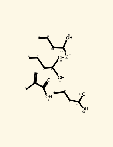 C=C(C)C(=O)O.CCCC(O)O.CCCC(O)O.CCCC(O)O